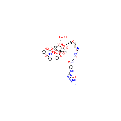 CC(=O)O[C@@]12CO[C@@H]1C[C@H](OC(=O)C/C=C/[Si](C)(C)O[Si](C)(C)CSc1ncc(CNC(=O)CCCNC(=O)c3ccc(NCc4cnc5nc(N)[nH]c(=O)c5n4)cc3)o1)[C@@]1(C)C(=O)[C@H](OC(=O)CCC(=O)O)C3=C(C)[C@@H](OC(=O)[C@H](O)[C@@H](NC(=O)c4ccccc4)c4ccccc4)C[C@@](O)([C@@H](OC(=O)c4ccccc4)[C@H]21)C3(C)C